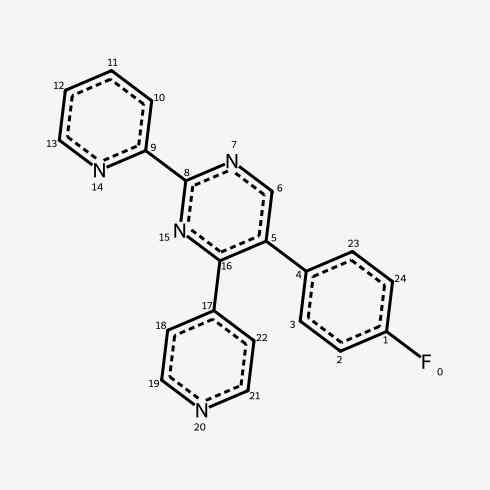 Fc1ccc(-c2cnc(-c3ccccn3)nc2-c2ccncc2)cc1